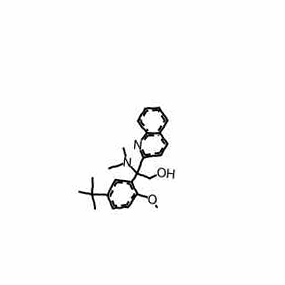 COc1ccc(C(C)(C)C)cc1C(CO)(c1ccc2ccccc2n1)N(C)C